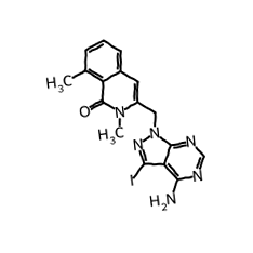 Cc1cccc2cc(Cn3nc(I)c4c(N)ncnc43)n(C)c(=O)c12